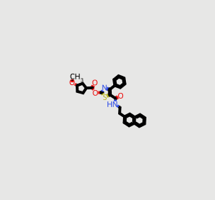 COC1CCC(C(=O)Oc2nc(-c3ccccc3)c(C(=O)NCCc3ccc4ccccc4c3)s2)C1